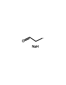 [CH2]CC=O.[NaH]